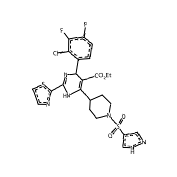 CCOC(=O)C1=C(C2CCN(S(=O)(=O)c3cn[nH]c3)CC2)NC(c2nccs2)=NC1c1ccc(F)c(F)c1Cl